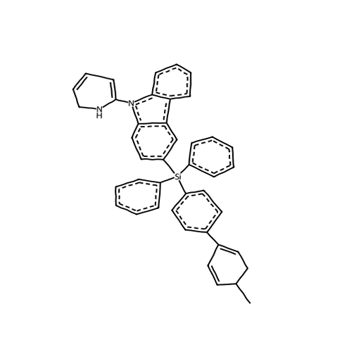 CC1C=CC(c2ccc([Si](c3ccccc3)(c3ccccc3)c3ccc4c(c3)c3ccccc3n4C3=CC=CCN3)cc2)=CC1